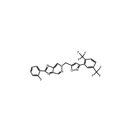 Fc1ccccc1-c1nc2cnn(Cc3cc(-c4cc(C(F)(F)F)ccc4C(F)(F)F)no3)cc-2n1